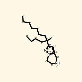 CCCCCCCC(C)(CCCC)c1cc2n(n1)CCNC2